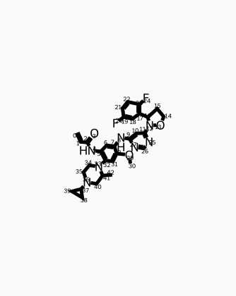 C=CC(=O)Nc1cc(Nc2cc(N3OCCC3c3cc(F)ccc3F)ncn2)c(OC)cc1N1CCN(C2CC2)CC1C